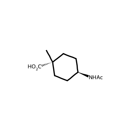 CC(=O)N[C@H]1CC[C@](C)(C(=O)O)CC1